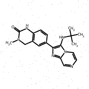 CN1Cc2cc(-c3nc4cnccn4c3NC(C)(C)C)ccc2NC1=O